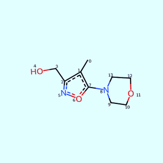 Cc1c(CO)noc1N1CCOCC1